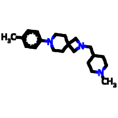 Cc1ccc(N2CCC3(CC2)CN(CC2CCN(C)CC2)C3)cc1